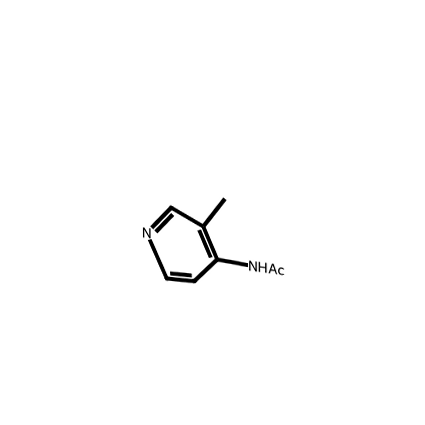 CC(=O)Nc1ccncc1C